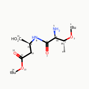 C[C@@H](OC(C)(C)C)[C@H](N)C(=O)N[C@@H](CC(=O)OC(C)(C)C)C(=O)O